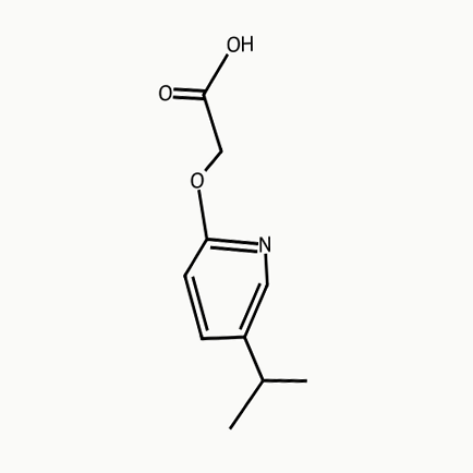 CC(C)c1ccc(OCC(=O)O)nc1